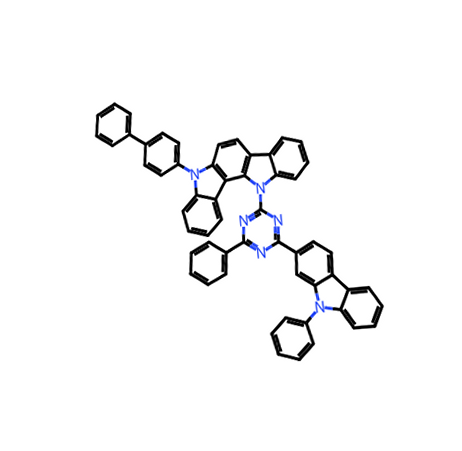 c1ccc(-c2ccc(-n3c4ccccc4c4c3ccc3c5ccccc5n(-c5nc(-c6ccccc6)nc(-c6ccc7c8ccccc8n(-c8ccccc8)c7c6)n5)c34)cc2)cc1